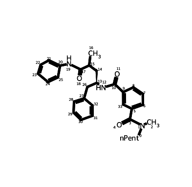 CCCCCN(C)C(=O)c1cccc(C(=O)N[C@H]([CH]C(C)C(=O)Nc2ccccc2)Cc2ccccc2)c1